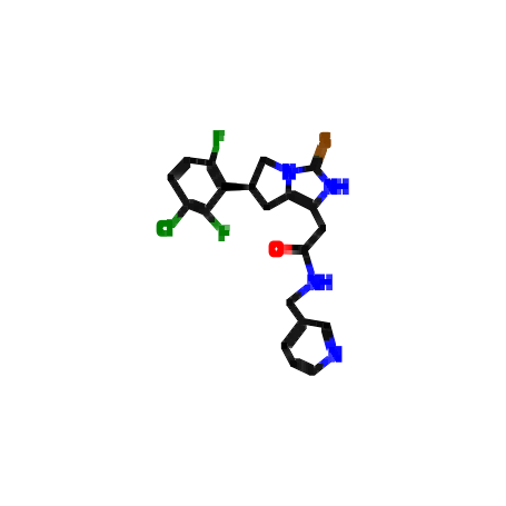 O=C(Cc1[nH]c(=S)n2c1C[C@@H](c1c(F)ccc(Cl)c1F)C2)NCc1cccnc1